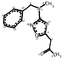 CC(=O)Cc1nc(N(C)Cc2ccccc2)no1